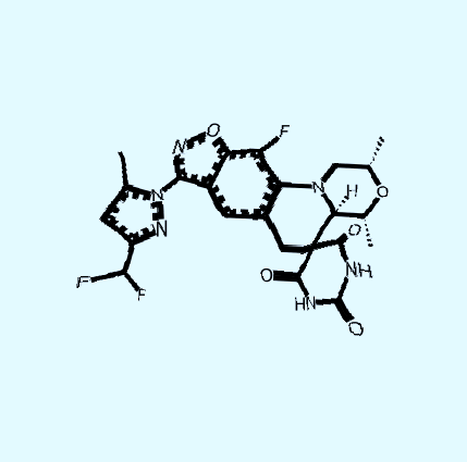 Cc1cc(C(F)F)nn1-c1noc2c(F)c3c(cc12)CC1(C(=O)NC(=O)NC1=O)[C@@H]1[C@@H](C)O[C@@H](C)CN31